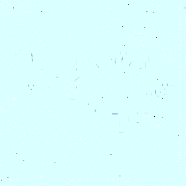 CCC1/C=C(\C)C(F)C(C)CC(OC)C2OC(O)(C(=O)C(=O)N3CCCCC3C(=O)OC(C(C)=CC3CCC(OC/C=C/C(C)(C)C)C(OC)C3)C(C)C(O)CC1=O)C(C)CC2OC